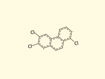 Clc1[c]c2ccc3c(Cl)[c]ccc3c2cc1Cl